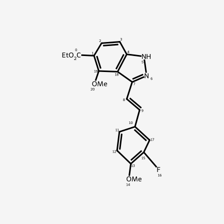 CCOC(=O)c1ccc2[nH]nc(/C=C/c3ccc(OC)c(F)c3)c2c1OC